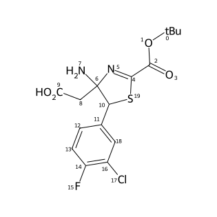 CC(C)(C)OC(=O)C1=NC(N)(CC(=O)O)C(c2ccc(F)c(Cl)c2)S1